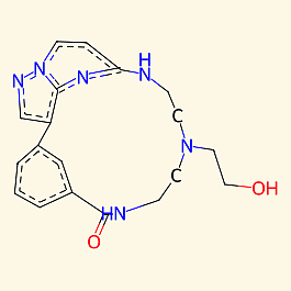 O=C1NCCN(CCO)CCNc2ccn3ncc(c3n2)-c2cccc1c2